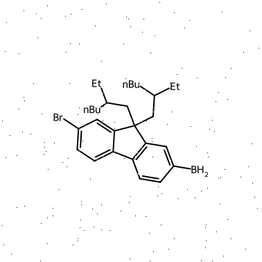 Bc1ccc2c(c1)C(CC(CC)CCCC)(CC(CC)CCCC)c1cc(Br)ccc1-2